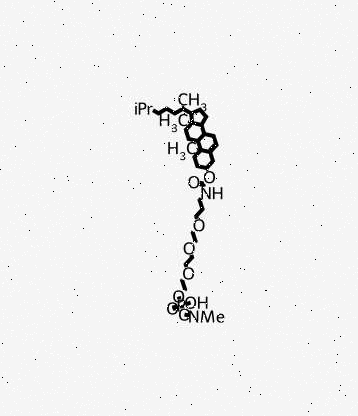 CNOP(=O)(O)OCCOCCOCCOCCCNC(=O)O[C@H]1CC[C@@]2(C)C(=CCC3C4CCC([C@H](C)CCCC(C)C)[C@@]4(C)CCC32)C1